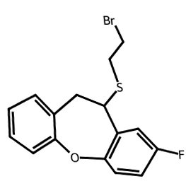 Fc1ccc2c(c1)C(SCCBr)Cc1ccccc1O2